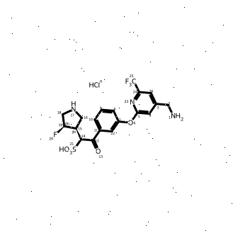 Cl.NCc1cc(Oc2cccc(C(=O)C([C@@H]3CNC[C@@H]3F)S(=O)(=O)O)c2)nc(C(F)(F)F)c1